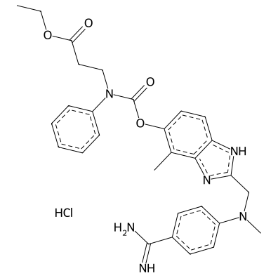 CCOC(=O)CCN(C(=O)Oc1ccc2[nH]c(CN(C)c3ccc(C(=N)N)cc3)nc2c1C)c1ccccc1.Cl